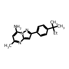 CCC(C)(C)c1ccc(-c2cc3nc(C)cc(N)n3n2)cc1